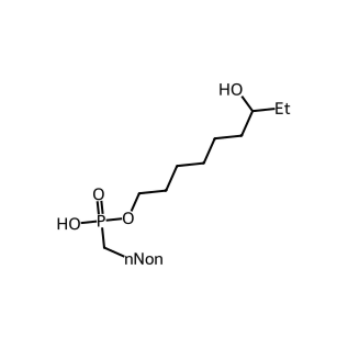 CCCCCCCCCCP(=O)(O)OCCCCCCC(O)CC